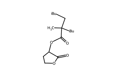 CCC(C)CC(C)(C(=O)OC1CCOC1=O)C(C)CC